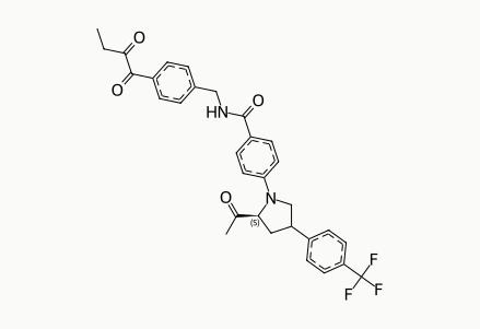 CCC(=O)C(=O)c1ccc(CNC(=O)c2ccc(N3CC(c4ccc(C(F)(F)F)cc4)C[C@H]3C(C)=O)cc2)cc1